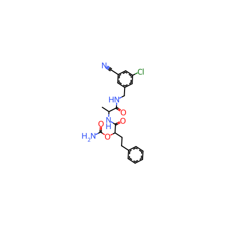 CC(NC(=O)C(CCc1ccccc1)OC(N)=O)C(=O)NCc1cc(Cl)cc(C#N)c1